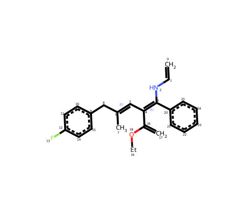 C=CN/C(=C(\C=C(/C)Cc1ccc(F)cc1)C(=C)OCC)c1ccccc1